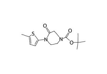 Cc1ccc(N2CCN(C(=O)OC(C)(C)C)CC2=O)s1